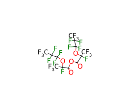 O=C(OC(=O)C(F)(OC(F)(F)C(F)(F)C(F)(F)F)C(F)(F)F)C(F)(OC(F)(F)C(F)(F)C(F)(F)F)C(F)(F)F